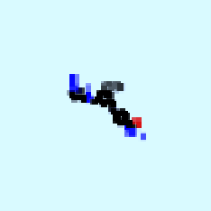 CC(C)COc1cc(/C=C/c2ccc(C(N)=O)cc2)cc(CNCC2CCNC2)c1